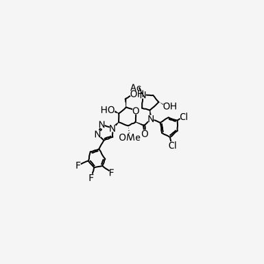 CO[C@@H]1[C@@H](n2cc(-c3cc(F)c(F)c(F)c3)nn2)[C@@H](O)[C@@H](CO)O[C@H]1C(=O)N(c1cc(Cl)cc(Cl)c1)[C@H]1CN(C(C)=O)C[C@@H]1O